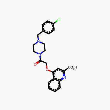 O=C(O)c1cc(OCC(=O)N2CCN(Cc3ccc(Cl)cc3)CC2)c2ccccc2n1